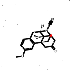 COc1ccc2c(c1)[C@]13CCN(C#N)[C@H](C2)[C@]1(OC)CCC(=O)C3